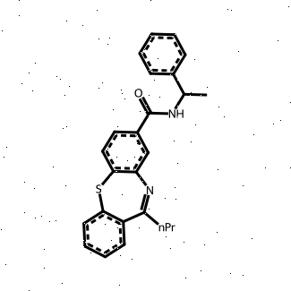 CCCC1=Nc2cc(C(=O)NC(C)c3ccccc3)ccc2Sc2ccccc21